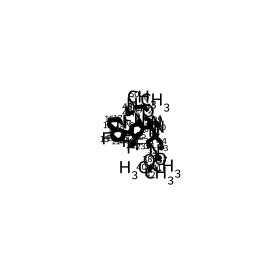 C[C@H](Oc1nc2c(F)c(-c3ccc(F)c4cccnc34)c(C(F)(F)F)cc2c2c1nnn2C1CCN(C(=O)OC(C)(C)C)CC1)[C@@H]1CCCN1C